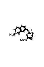 CNc1nc(Nc2ccc3c(c2)CN(C)CC3)ncc1F